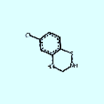 Clc1ccc2c(c1)NCNS2